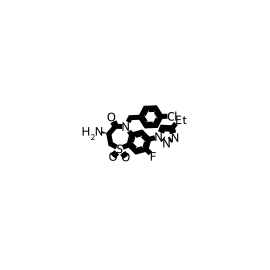 CCc1cn(-c2cc3c(cc2F)S(=O)(=O)C[C@H](N)C(=O)N3Cc2ccc(Cl)cc2)nn1